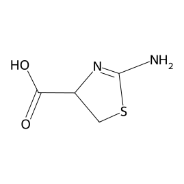 NC1=NC(C(=O)O)CS1